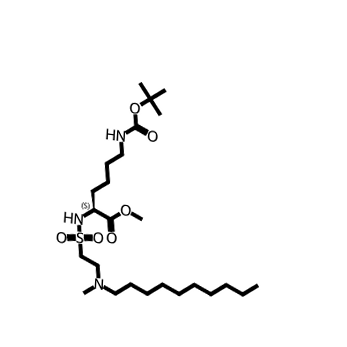 CCCCCCCCCCN(C)CCS(=O)(=O)N[C@@H](CCCCNC(=O)OC(C)(C)C)C(=O)OC